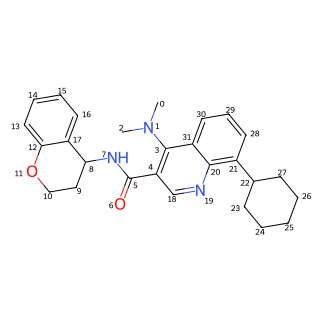 CN(C)c1c(C(=O)NC2CCOc3ccccc32)cnc2c(C3CCCCC3)cccc12